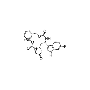 CC(C)(C)OC(=O)N1CC(=O)CC1CC(NC(=O)OCc1ccccc1)c1c[nH]c2cc(F)ccc12